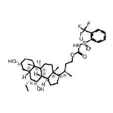 CC[C@H]1[C@@H](O)[C@@H]2[C@H](CC[C@]3(C)[C@@H]([C@H](C)CCOC(=O)NS(=O)(=O)c4ccccc4C(F)(F)F)CC[C@@H]23)[C@@]2(C)CC[C@@H](O)C[C@@H]12